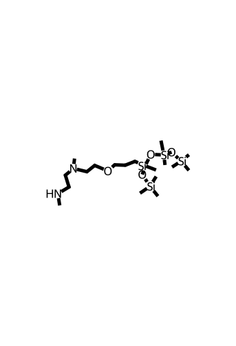 CNCCN(C)CCOCCC[Si](C)(O[Si](C)(C)C)O[Si](C)(C)O[Si](C)(C)C